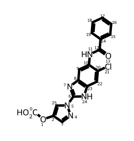 O=C(O)Oc1cnn(-c2nc3cc(NC(=O)c4ccccc4)c(Cl)cc3[nH]2)c1